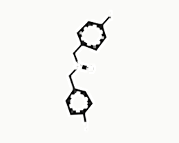 O=[P](Cc1ccc(I)cc1)Cc1ccc(I)cc1